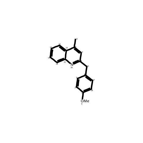 COc1ccc(Cc2cc(C)c3ccccc3n2)cc1